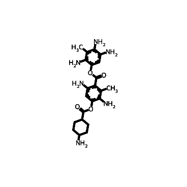 Cc1c(N)c(N)cc(OC(=O)c2c(N)cc(OC(=O)C3CCC(N)CC3)c(N)c2C)c1N